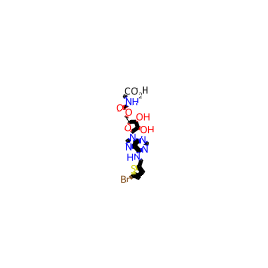 O=C(O)CNC(=O)OC[C@H]1O[C@@H](n2cnc3c(NCc4ccc(Br)s4)ncnc32)C(O)C1O